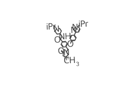 CC(C)c1ccc(-c2ccc(Oc3cc(C(=O)NC4CCN(C(C)C)CC4)ccc3CN3C[C@@H](C)CC3=O)cc2)nn1